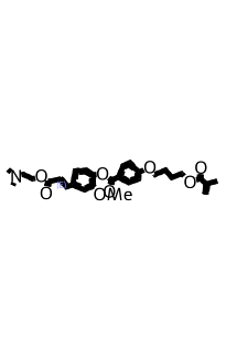 C=C(C)C(=O)OCCCCOc1ccc(C(=O)Oc2ccc(/C=C/C(=O)OCCN(C)C)cc2OC)cc1